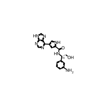 Nc1cccc([C@@H](CO)NC(=O)c2cc(-c3ncnc4[nH]cnc34)c[nH]2)c1